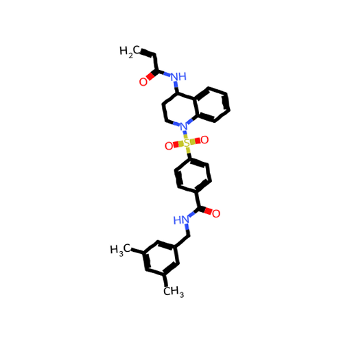 C=CC(=O)NC1CCN(S(=O)(=O)c2ccc(C(=O)NCc3cc(C)cc(C)c3)cc2)c2ccccc21